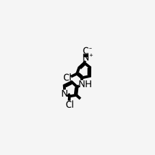 [C-]#[N+]c1ccc(Nc2ccnc(Cl)c2C)c(Cl)c1